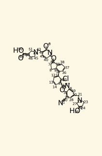 COc1nc(O[C@@H]2CCc3c(-c4cccc(-c5nc6cc(CN7CC[C@@H](O)C7)cc(C#N)c6o5)c4Cl)cccc32)ccc1CN1CC[C@@H](C(=O)O)C1